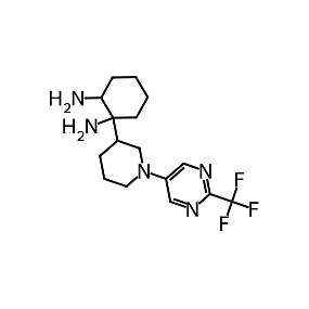 NC1CCCCC1(N)C1CCCN(c2cnc(C(F)(F)F)nc2)C1